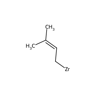 CC(C)=C[CH2][Zr]